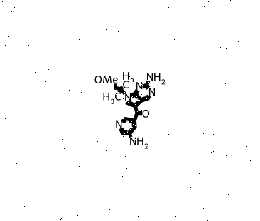 COCC(C)(C)n1cc(C(=O)c2cncc(N)c2)c2cnc(N)nc21